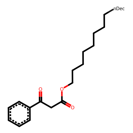 CCCCCCCCCCCCCCCCCCOC(=O)CC(=O)c1ccccc1